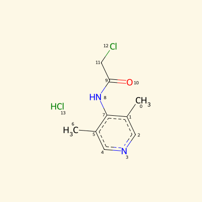 Cc1cncc(C)c1NC(=O)CCl.Cl